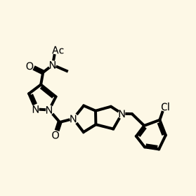 CC(=O)N(C)C(=O)c1cnn(C(=O)N2CC3CN(Cc4ccccc4Cl)CC3C2)c1